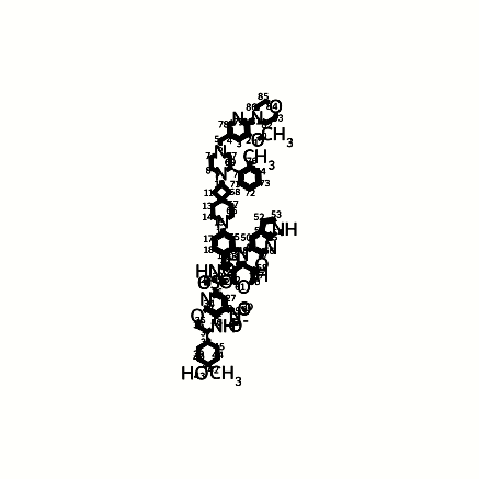 COc1cc(CN2CCN(C3CC4(CCN(c5ccc(C(=O)NS(=O)(=O)c6cc([N+](=O)[O-])c7c(n6)OC[C@H](C6CCC(C)(O)CC6)N7)c(N6c7cc8cc[nH]c8nc7O[C@H]7COCC[C@@H]76)c5)CC4)C3)[C@H](c3ccccc3C)C2)cnc1N1CCOCC1